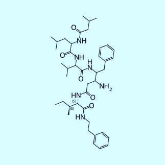 CC[C@H](C)[C@H](NC(=O)CC(N)C(Cc1ccccc1)NC(=O)C(NC(=O)C(CC(C)C)NC(=O)CC(C)C)C(C)C)C(=O)NCCc1ccccc1